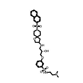 CN(C)CCNS(=O)(=O)c1cccc(OC[C@@H](O)CNC2COC3(CCN(S(=O)(=O)c4ccc5ccccc5c4)CC3)C2)c1